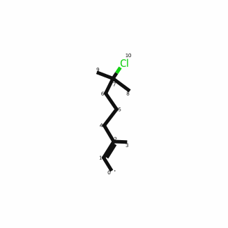 [CH2]/C=C(\C)CCCC(C)(C)Cl